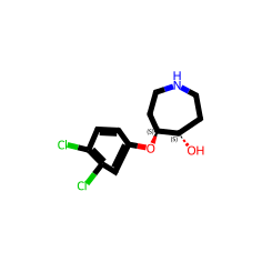 O[C@H]1CCNCC[C@@H]1Oc1ccc(Cl)c(Cl)c1